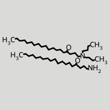 CCCCCCCCCCCCCCCC(=O)CCCN.CCCCCCCCCCCCCCCC(=O)CCCN(CCCC)CCCC